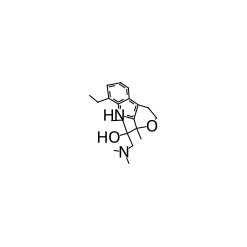 CCc1cccc2c3c([nH]c12)C(C)(C(O)(CC)CN(C)C)OCC3